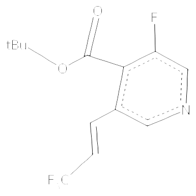 CC(C)(C)OC(=O)c1c(F)cncc1C=CC(F)(F)F